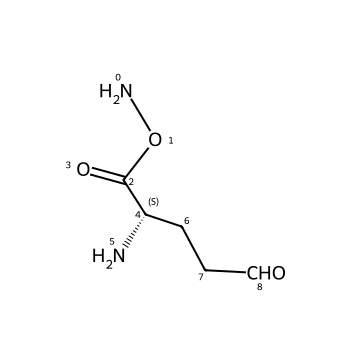 NOC(=O)[C@@H](N)CCC=O